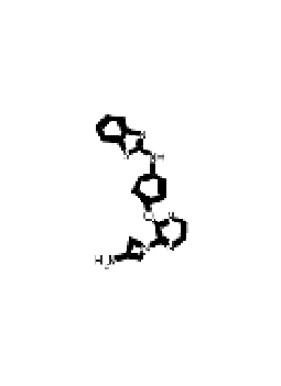 NC1CN(c2nccnc2Oc2ccc(Nc3nc4ccccc4s3)cc2)C1